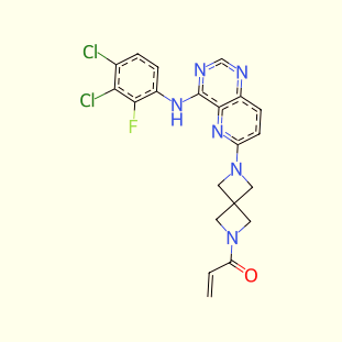 C=CC(=O)N1CC2(C1)CN(c1ccc3ncnc(Nc4ccc(Cl)c(Cl)c4F)c3n1)C2